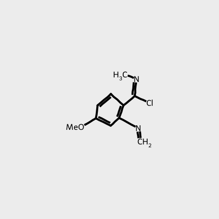 C=Nc1cc(OC)ccc1/C(Cl)=N\C